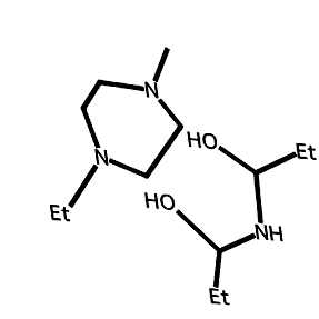 CCC(O)NC(O)CC.CCN1CCN(C)CC1